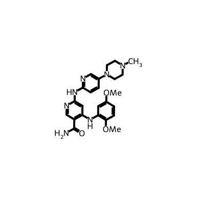 COc1ccc(OC)c(Nc2cc(Nc3ccc(N4CCN(C)CC4)cn3)ncc2C(N)=O)c1